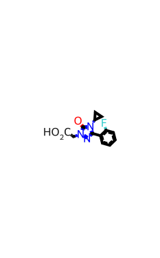 O=C(O)Cn1nc(-c2ccccc2F)n(C2CC2)c1=O